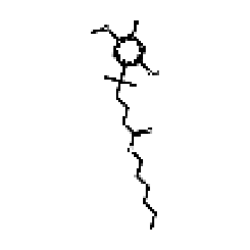 CCCCCCOC(=O)CCCC(C)(C)c1cc(OC)c(C)cc1O